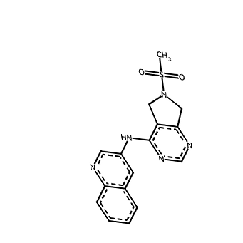 CS(=O)(=O)N1Cc2ncnc(Nc3cnc4ccccc4c3)c2C1